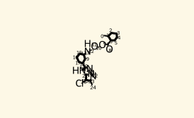 Cc1ccccc1C(=O)OCOCNc1cccc(-c2nn3nc(C)c(Cl)c3[nH]2)c1